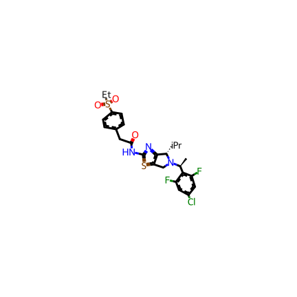 CCS(=O)(=O)c1ccc(CC(=O)Nc2nc3c(s2)CN([C@@H](C)c2c(F)cc(Cl)cc2F)[C@H]3C(C)C)cc1